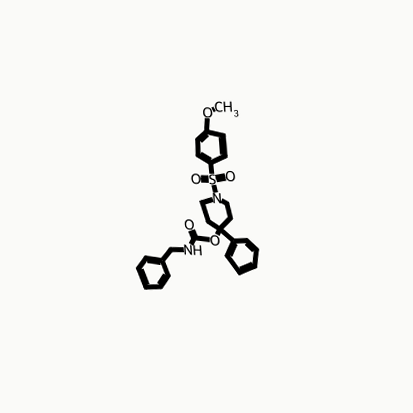 COc1ccc(S(=O)(=O)N2CCC(OC(=O)NCc3ccccc3)(c3ccccc3)CC2)cc1